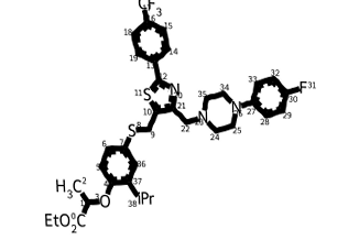 CCOC(=O)C(C)Oc1ccc(SCc2sc(-c3ccc(C(F)(F)F)cc3)nc2CN2CCN(c3ccc(F)cc3)CC2)cc1C(C)C